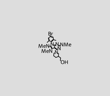 CNc1nc(N2CCCC(CCO)C2)c2c(NC)c(NC)n(-c3c(C)cc(Br)cc3C)c2n1